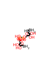 BB[C@@H]1O[C@H](COP(=O)(O)CP(=O)(O)OC[C@H]2O[C@@H](B)C(O)C2O)C(O)[C@@H]1O